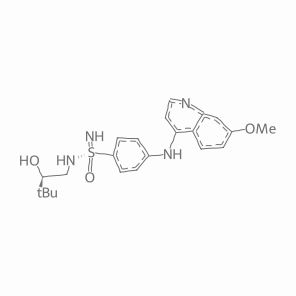 COc1ccc2c(Nc3ccc([S@](=N)(=O)NC[C@H](O)C(C)(C)C)cc3)ccnc2c1